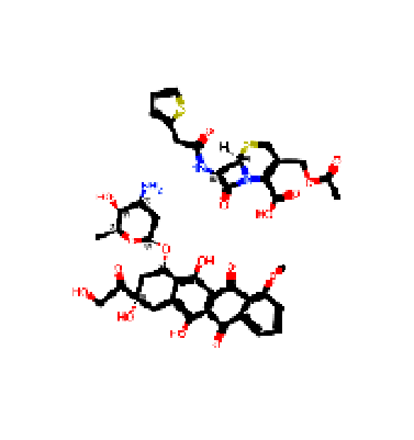 CC(=O)OCC1=C(C(=O)O)N2C(=O)[C@@H](NC(=O)Cc3cccs3)[C@H]2SC1.COc1cccc2c1C(=O)c1c(O)c3c(c(O)c1C2=O)C[C@@](O)(C(=O)CO)C[C@@H]3O[C@H]1C[C@H](N)[C@H](O)[C@H](C)O1